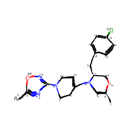 CC(C)c1nc(N2CCC(N3C[C@H](C)OC[C@@H]3Cc3ccc(Cl)cc3)CC2)no1